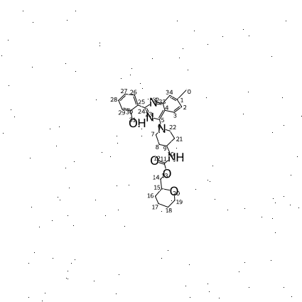 Cc1ccc2c(N3CCC(NC(=O)OCC4CCCCO4)CC3)nc(-c3ccccc3O)nc2c1